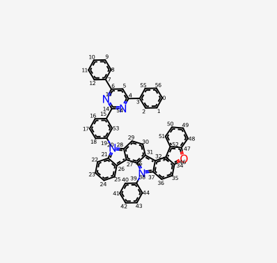 c1ccc(-c2cc(-c3ccccc3)nc(-c3cccc(-n4c5ccccc5c5c4ccc4c6c7c(ccc6n(-c6ccccc6)c45)oc4ccccc47)c3)n2)cc1